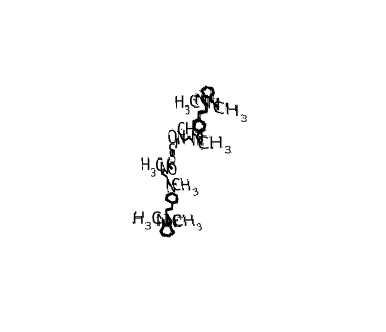 CN(CCCN(C)c1ccc(/C=C/c2n(C)c3ccccc3[n+]2C)cc1)C(=O)CSSCC(=O)N(C)CCCN(C)c1ccc(/C=C/c2n(C)c3ccccc3[n+]2C)cc1